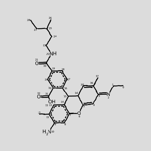 CC/N=C1/C=C2Oc3cc(N)c(C)cc3C(c3ccc(C(=O)NCCC(C)CC)cc3C(=O)O)C2C=C1C